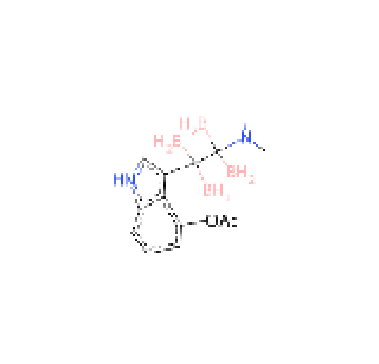 BC(B)(c1c[nH]c2cccc(OC(C)=O)c12)C(B)(B)N(C)C